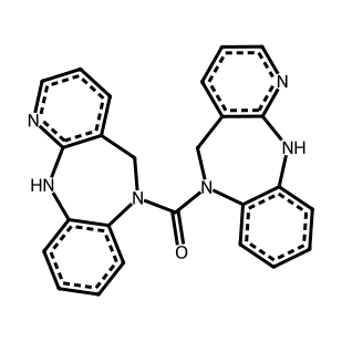 O=C(N1Cc2cccnc2Nc2ccccc21)N1Cc2cccnc2Nc2ccccc21